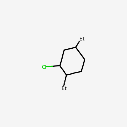 CCC1CCC(CC)C(Cl)C1